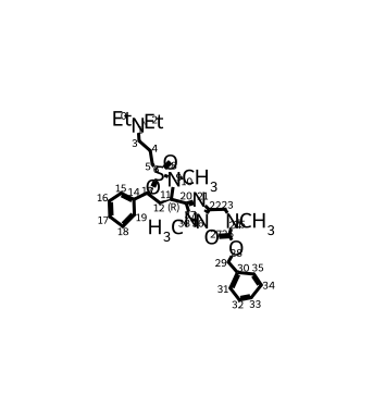 CCN(CC)CCCS(=O)(=O)N(C)[C@H](CCc1ccccc1)c1nc(CN(C)C(=O)OCc2ccccc2)nn1C